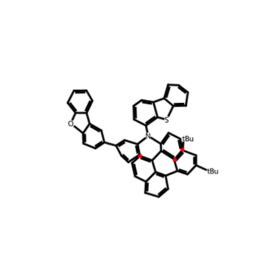 CC(C)(C)c1cc(-c2cccc3cccc(-c4ccccc4N(c4cccc(-c5ccc6oc7ccccc7c6c5)c4)c4cccc5c4sc4ccccc45)c23)cc(C(C)(C)C)c1